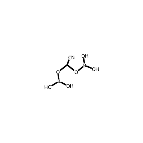 N#CC(OB(O)O)OB(O)O